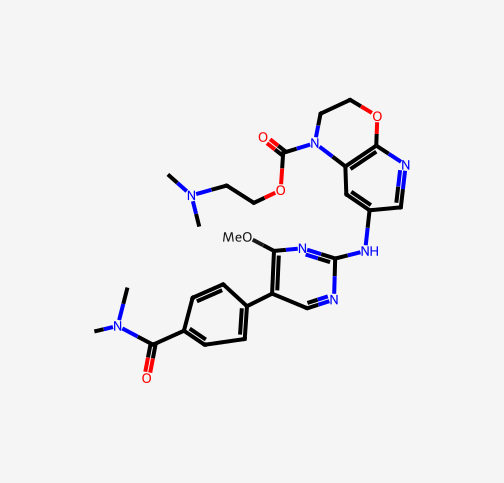 COc1nc(Nc2cnc3c(c2)N(C(=O)OCCN(C)C)CCO3)ncc1-c1ccc(C(=O)N(C)C)cc1